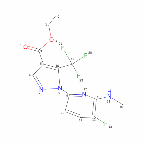 CCOC(=O)c1cnn(-c2ccc(F)c(NC)n2)c1C(F)(F)F